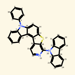 c1ccc(-n2c3ccccc3c3c4c(ccc32)sc2c(-n3c5ccccc5c5ccccc53)nccc24)cc1